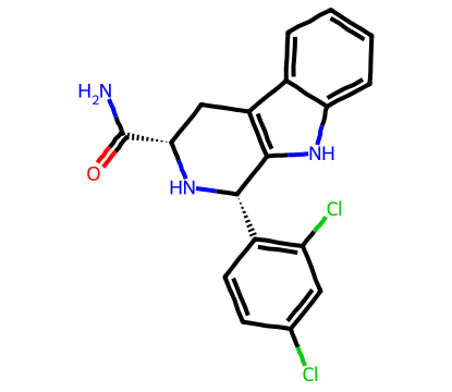 NC(=O)[C@@H]1Cc2c([nH]c3ccccc23)[C@H](c2ccc(Cl)cc2Cl)N1